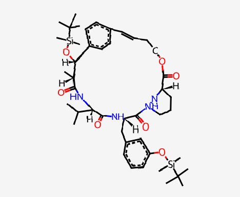 CC(C)[C@@H]1NC(=O)[C@H](C)[C@H](O[Si](C)(C)C(C)(C)C)c2ccc(cc2)/C=C/CCOC(=O)[C@@H]2CCCN(N2)C(=O)[C@H](Cc2cccc(O[Si](C)(C)C(C)(C)C)c2)NC1=O